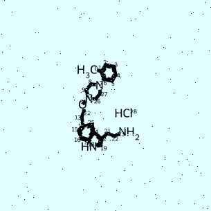 Cc1ccccc1N1CCN(OCCc2ccc3[nH]cc(CCN)c3c2)CC1.Cl